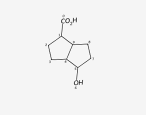 O=C(O)C1CCC2C(O)CCC12